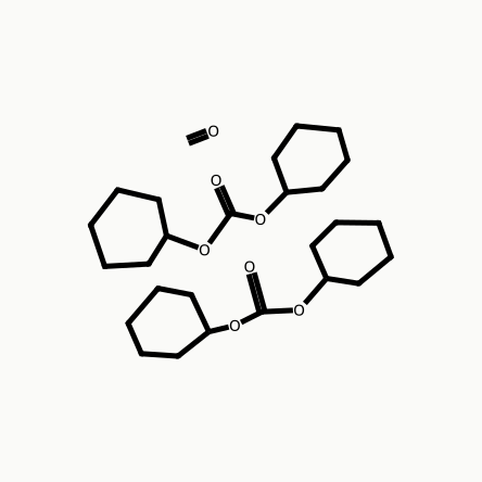 C=O.O=C(OC1CCCCC1)OC1CCCCC1.O=C(OC1CCCCC1)OC1CCCCC1